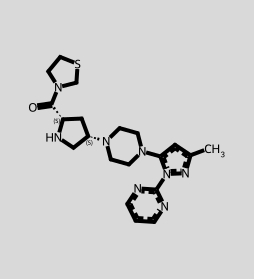 Cc1cc(N2CCN([C@@H]3CN[C@H](C(=O)N4CCSC4)C3)CC2)n(-c2ncccn2)n1